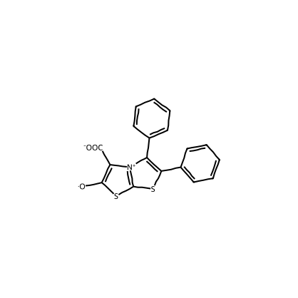 [O]c1sc2sc(-c3ccccc3)c(-c3ccccc3)[n+]2c1C(=O)[O-]